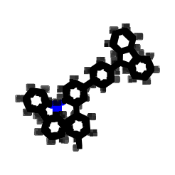 Cc1ccc(-c2cc(-c3ccc(C4c5ccccc5C5C=CC=CC54)cc3)ccc2-n2c3ccccc3c3ccccc32)cc1